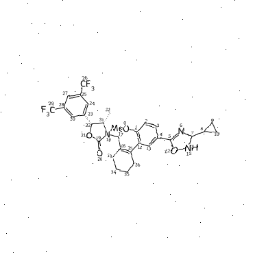 COc1ccc(C2=NC(C3CC3)NO2)cc1C1=C(CN2C(=O)O[C@H](c3cc(C(F)(F)F)cc(C(F)(F)F)c3)[C@@H]2C)CCCC1